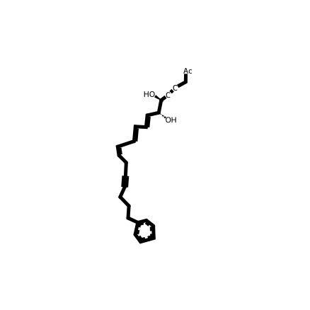 CC(=O)CCC[C@H](O)[C@H](O)/C=C/C=C/C=C\CC#CCCCc1ccccc1